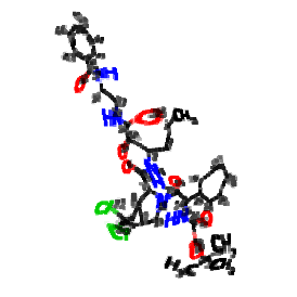 CCCC(NC(=O)C1C2C(CN1C(=O)C(NC(=O)OC(C)(C)C)C1CCCCC1)C2(Cl)Cl)C(=O)C(=O)NCCNC(=O)c1ccccc1